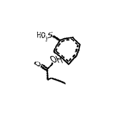 CCC(=O)O.O=S(=O)(O)c1ccccc1